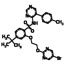 Cc1ccc(-c2cncnc2NS(=O)(=O)c2ccc(C(C)(C)C)cc2OCCOc2ncc(Br)cn2)cc1